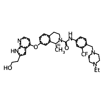 CCN1CCN(Cc2ccc(NC(=O)N3CCc4ccc(Oc5ccnc6[nH]c(CCO)cc56)cc4[C@@H]3C)cc2C(F)(F)F)CC1